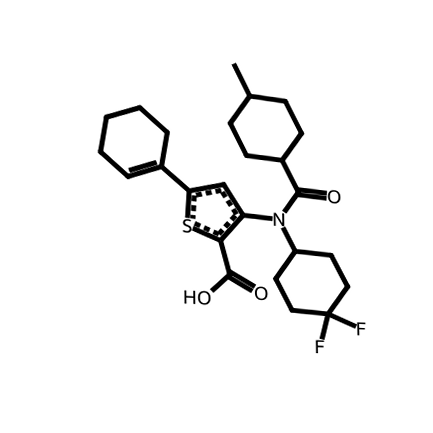 CC1CCC(C(=O)N(c2cc(C3=CCCCC3)sc2C(=O)O)C2CCC(F)(F)CC2)CC1